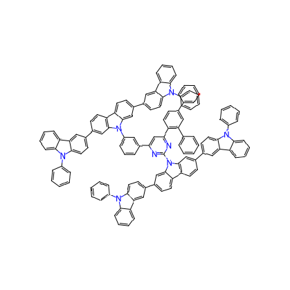 c1ccc(-c2ccc(-c3cc(-c4cccc(-n5c6cc(-c7ccc8c(c7)c7ccccc7n8-c7ccccc7)ccc6c6ccc(-c7ccc8c(c7)c7ccccc7n8-c7ccccc7)cc65)c4)nc(-n4c5cc(-c6ccc7c(c6)c6ccccc6n7-c6ccccc6)ccc5c5ccc(-c6ccc7c(c6)c6ccccc6n7-c6ccccc6)cc54)n3)c(-c3ccccc3)c2)cc1